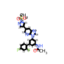 CC(=O)Nc1cc(-c2ccc(F)cc2F)cc(-n2cnc3cc(-c4cnn(S(C)(=O)=O)c4)cnc32)c1